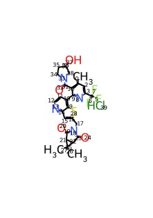 Cc1cc(C(F)(F)F)nc(-c2ccnc3cc(CN4C(=O)C5C(C4=O)C5(C)C)sc23)c1C(=O)N1CC[C@H](O)C1.Cl